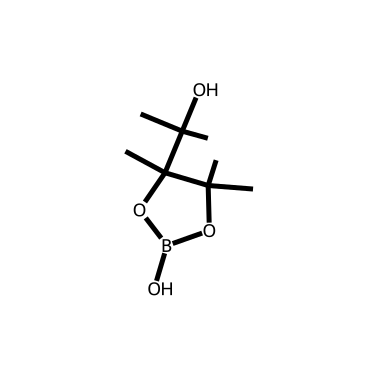 CC(C)(O)C1(C)OB(O)OC1(C)C